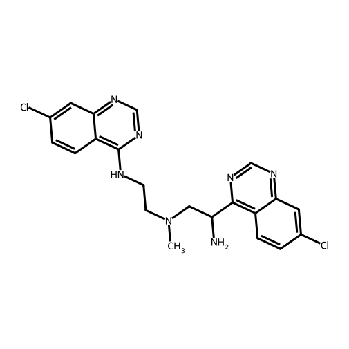 CN(CCNc1ncnc2cc(Cl)ccc12)CC(N)c1ncnc2cc(Cl)ccc12